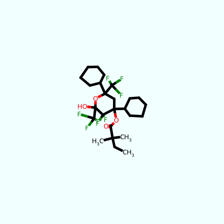 CCC(C)(C)C(=O)OC1(C2CCCCC2)CC(C2CCCCC2)(C(F)(F)F)OC(O)(C(F)(F)F)C1(F)F